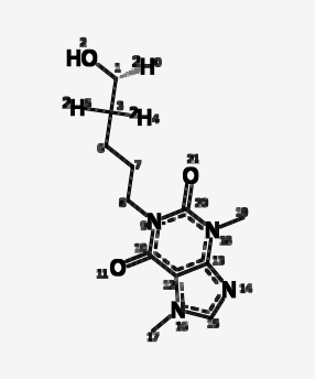 [2H][C@@H](O)C([2H])([2H])CCCn1c(=O)c2c(ncn2C)n(C)c1=O